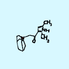 Cc1cc(C(=O)CN2C3CC4CC(C3)CC2C4)c(C)[nH]1